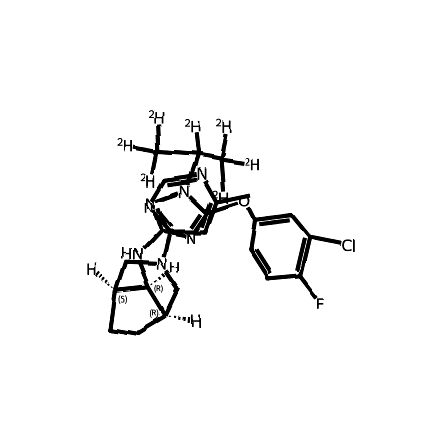 [2H]C([2H])([2H])C([2H])(n1nc(N[C@H]2[C@@H]3CC[C@H]2CN(c2cc(C)ncn2)C3)nc1Oc1ccc(F)c(Cl)c1)C([2H])([2H])[2H]